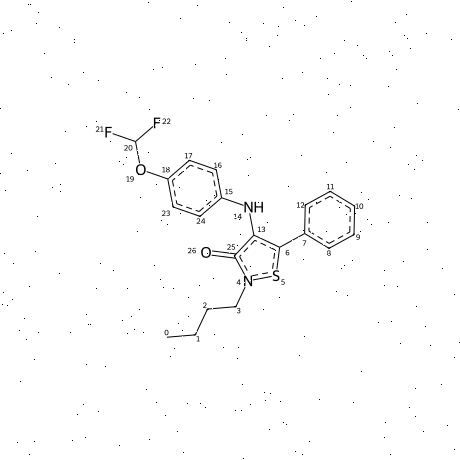 CCCCn1sc(-c2ccccc2)c(Nc2ccc(OC(F)F)cc2)c1=O